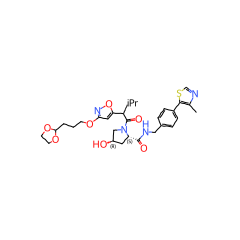 Cc1ncsc1-c1ccc(CNC(=O)[C@@H]2C[C@@H](O)CN2C(=O)C(c2cc(OCCCC3OCCO3)no2)C(C)C)cc1